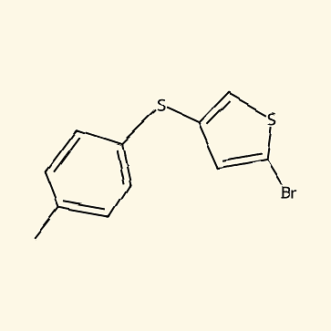 Cc1ccc(Sc2csc(Br)c2)cc1